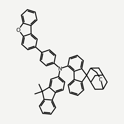 CC1(C)c2ccccc2-c2ccc(N(c3ccc(-c4ccc5oc6ccccc6c5c4)cc3)c3cccc4c3-c3ccccc3C43C4CCC5CC(C4)CC3C5)cc21